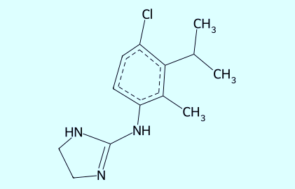 Cc1c(NC2=NCCN2)ccc(Cl)c1C(C)C